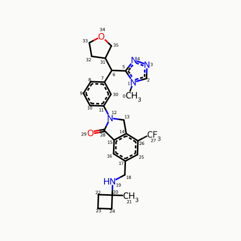 Cn1cnnc1C(c1cccc(N2Cc3c(cc(CNC4(C)CCC4)cc3C(F)(F)F)C2=O)c1)C1CCOC1